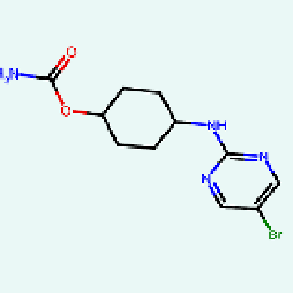 NC(=O)OC1CCC(Nc2ncc(Br)cn2)CC1